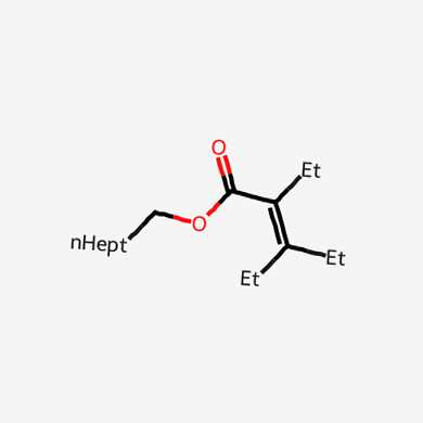 CCCCCCCCOC(=O)C(CC)=C(CC)CC